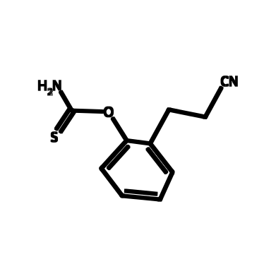 N#CCCc1ccccc1OC(N)=S